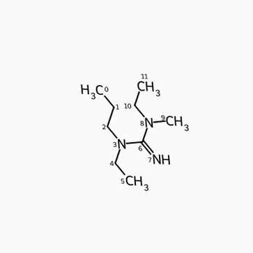 CCCN(CC)C(=N)N(C)CC